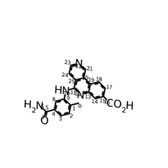 Cc1ccc(C(N)=O)cc1Nc1nc2cc(C(=O)O)ccc2c2cnccc12